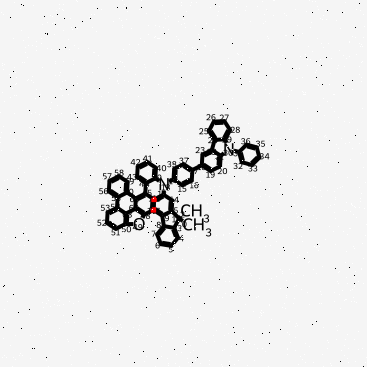 CC1(C)c2ccccc2-c2ccc(N(c3ccc(-c4ccc5c(c4)c4ccccc4n5-c4ccccc4)cc3)c3ccccc3-c3ccc4oc5cccc6c7ccccc7c3c4c56)cc21